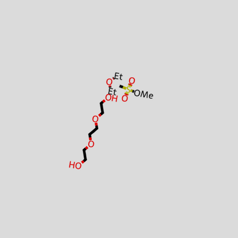 CCOCC.COS(C)(=O)=O.OCCOCCOCCO